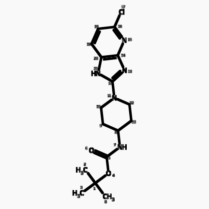 CC(C)(C)OC(=O)NC1CCN(c2nc3nc(Cl)ccc3[nH]2)CC1